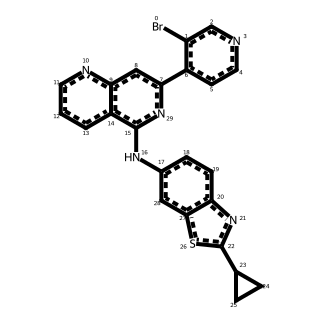 Brc1cnccc1-c1cc2ncccc2c(Nc2ccc3nc(C4CC4)sc3c2)n1